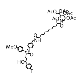 COc1ccc([C@@H]2[C@@H](CC[C@H](O)c3ccc(F)cc3)C(=O)N2c2ccc(CNC(=O)CCCCCCCCCCC(=O)NC[C@H](OC(C)=O)[C@@H](OC(C)=O)[C@H](OC(C)=O)[C@@H](COC(C)=O)OC(C)=O)cc2)cc1